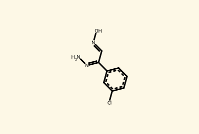 NN=C(C=NO)c1cccc(Cl)c1